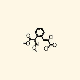 CON=C(C(=O)OC)c1ccccc1C=C(Cl)C(=O)Cl